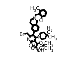 Cc1cccc(Cl)c1CN1CCc2cc(-c3c(CBr)nc(C)c(C(OC(C)(C)C)C(=O)O)c3N3CCC(C)(C)CC3)ccc2C1